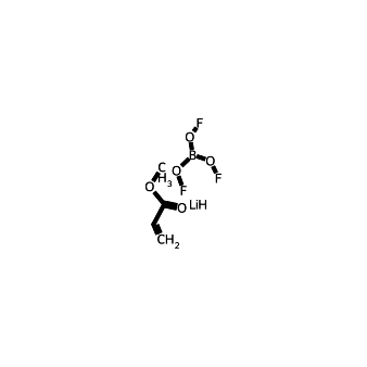 C=CC(=O)OC.FOB(OF)OF.[LiH]